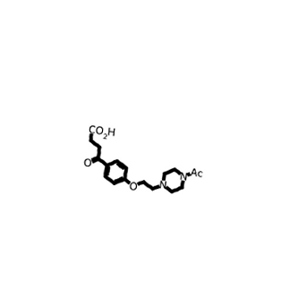 CC(=O)N1CCN(CCOc2ccc(C(=O)CCC(=O)O)cc2)CC1